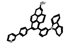 CC(C)(C)C1=Cc2ccc3c(-c4cccc(-n5c6c(c7ccccc75)C=CCC6)c4)cc(-c4ccc(-c5cccnc5)cc4)c4c3c2C(C=C4)C1